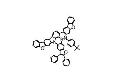 CC(C)(C)c1ccc(N2B3c4cc5oc(-c6ccccc6)c(-c6ccccc6)c5cc4-n4c5cc6oc7ccccc7c6cc5c5ccc(c3c54)-c3cc4c(cc32)oc2ccccc24)cc1